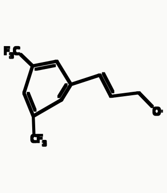 [O]CC=Cc1cc(C(F)(F)F)cc(C(F)(F)F)c1